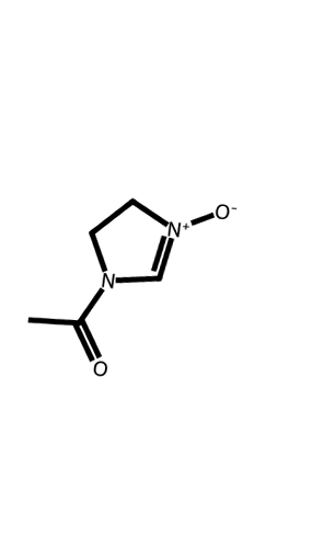 CC(=O)N1C=[N+]([O-])CC1